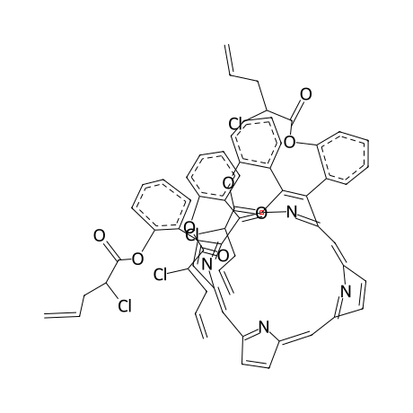 C=CCC(Cl)C(=O)Oc1ccccc1C1=CC2=CC3=NC(=CC4=NC(=CC5=NC(=C(c6ccccc6OC(=O)C(Cl)CC=C)C1=N2)C(c1ccccc1OC(=O)C(Cl)CC=C)=C5c1ccccc1OC(=O)C(Cl)CC=C)C=C4)C=C3